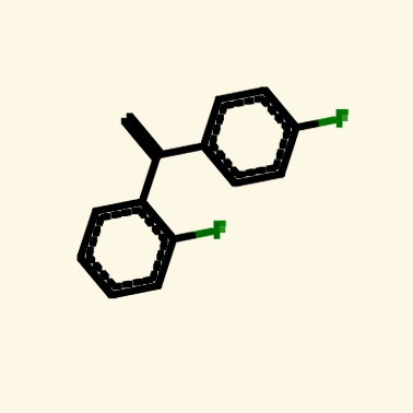 C=C(c1ccc(F)cc1)c1ccccc1F